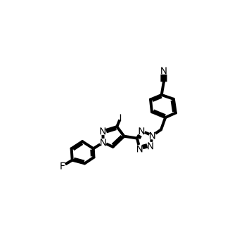 N#Cc1ccc(Cn2nnc(-c3cn(-c4ccc(F)cc4)nc3I)n2)cc1